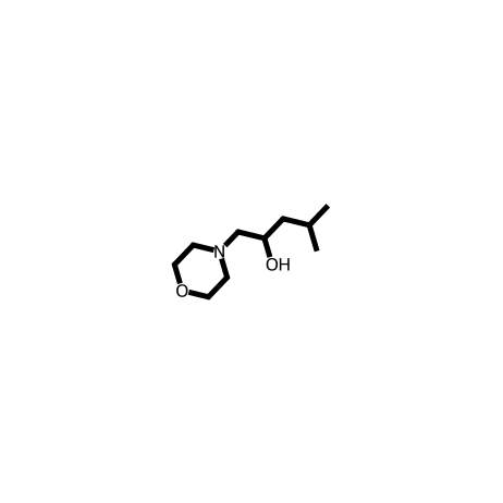 CC(C)CC(O)CN1CCOCC1